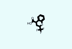 O=C(O)C1CC(C(F)(F)F)Sc2ccccc21